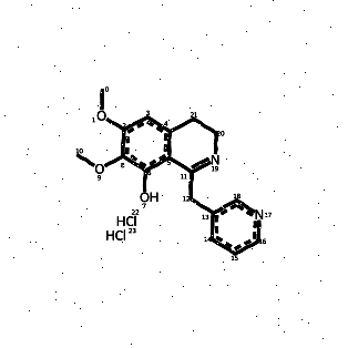 COc1cc2c(c(O)c1OC)C(Cc1cccnc1)=NCC2.Cl.Cl